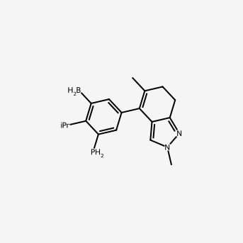 Bc1cc(C2=C(C)CCc3nn(C)cc32)cc(P)c1C(C)C